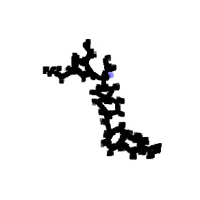 C=Nc1nn(CC(F)(F)F)cc1/C(=N\C)N1CC2(CCN(Cc3ccc4cc(C#N)[nH]c4c3)C2)C1